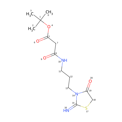 CC(C)(C)OC(=O)CC(=O)NCCCN1C(=N)SCC1=O